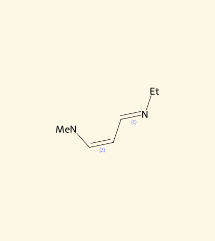 CC/N=C/C=C\NC